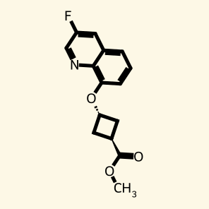 COC(=O)[C@H]1C[C@H](Oc2cccc3cc(F)cnc23)C1